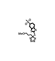 COCCCC1(Sc2nc3ccc(S(C)(=O)=O)cc3s2)N=NN=N1